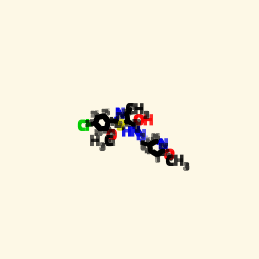 COc1ccc(/C=N/NC(O)c2sc(-c3ccc(Cl)cc3OC)nc2C)cn1